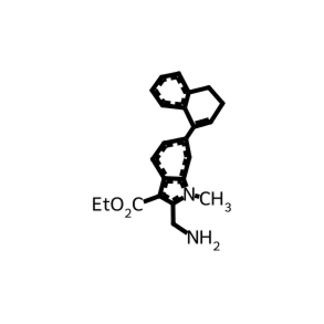 CCOC(=O)c1c(CN)n(C)c2cc(C3=CCCc4ccccc43)ccc12